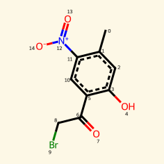 Cc1cc(O)c(C(=O)CBr)cc1[N+](=O)[O-]